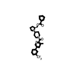 Cc1cc(-c2cccc(C(F)(F)F)c2)cnc1C(=O)N1CCC(N2CCC[C@H]2COC(=O)c2ccccc2)CC1